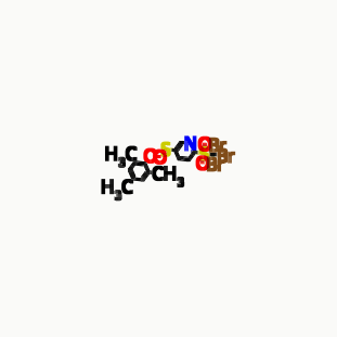 Cc1cc(C)c(OOSc2ccc(S(=O)(=O)C(Br)(Br)Br)nc2)c(C)c1